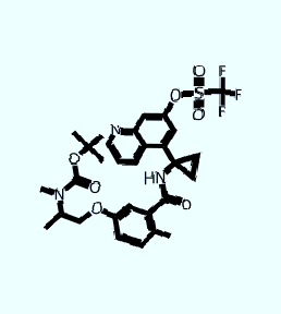 Cc1ccc(OCC(C)N(C)C(=O)OC(C)(C)C)cc1C(=O)NC1(c2cc(OS(=O)(=O)C(F)(F)F)cc3ncccc23)CC1